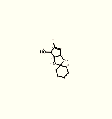 OC1C(F)=CC2OC3(CCCCC3)OC21